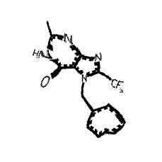 Cc1nc2nc(C(F)(F)F)n(Cc3ccccc3)c2c(=O)[nH]1